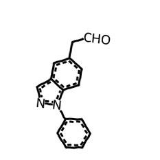 O=CCc1ccc2c(cnn2-c2ccccc2)c1